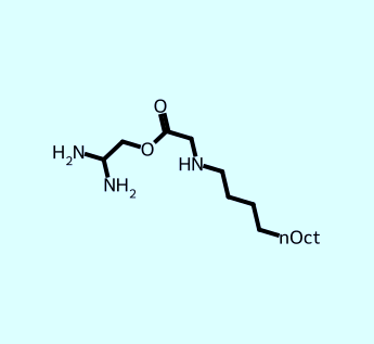 CCCCCCCCCCCCNCC(=O)OCC(N)N